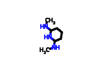 CNC1CCCC(NC)N1